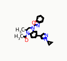 CC(=O)N1c2ccc(-c3cnn(C4CC4)c3)cc2N(c2nc3ccccc3o2)C[C@@H]1C